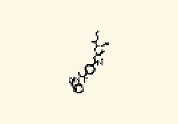 C=CCC(CC(C=C)C/C(=N\C)c1ccc(C(F)C(C)n2nnc3ccccc32)cc1)C(=C)CCC